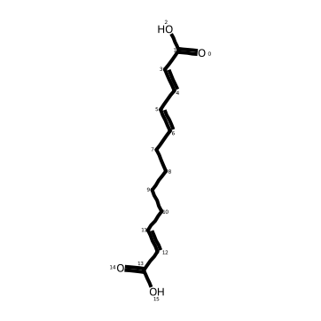 O=C(O)C=CC=CCCCCC=CC(=O)O